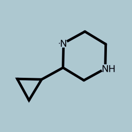 C1CNCC(C2CC2)[N]1